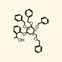 CC(O)c1ccccc1O[C@@H]1C[C@H](COCc2ccccc2)[C@@H](OCc2ccccc2)[C@H](OCc2ccccc2)[C@H]1OCc1ccccc1